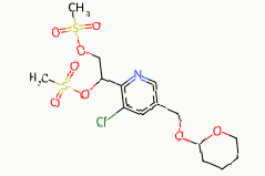 CS(=O)(=O)OCC(OS(C)(=O)=O)c1ncc(COC2CCCCO2)cc1Cl